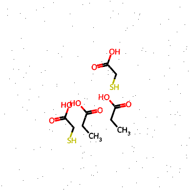 CCC(=O)O.CCC(=O)O.O=C(O)CS.O=C(O)CS